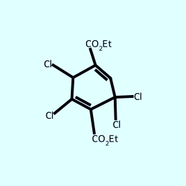 CCOC(=O)C1=CC(Cl)(Cl)C(C(=O)OCC)=C(Cl)C1Cl